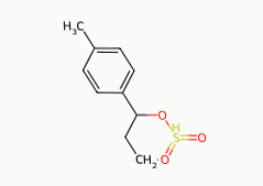 [CH2]CC(O[SH](=O)=O)c1ccc(C)cc1